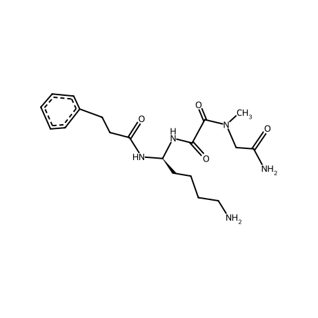 CN(CC(N)=O)C(=O)C(=O)N[C@@H](CCCCN)NC(=O)CCc1ccccc1